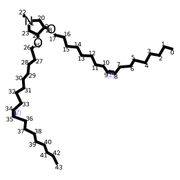 CCCCCCCC/C=C\CCCCCCCCOC1CN(C)CC1OCCCCCCCC/C=C\CCCCCCCC